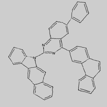 c1ccc(-c2ccc3nc(-n4c5ccccc5c5cc6ccccc6cc54)nc(-c4ccc5ccc6ccccc6c5c4)c3c2)cc1